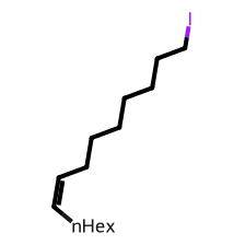 CCCCCC/C=C\CCCCCCCI